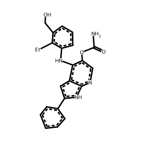 CCc1c(CO)cccc1Nc1c(OC(N)=O)cnc2[nH]c(-c3ccccc3)cc12